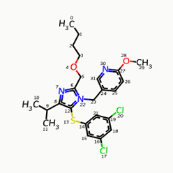 CCCCOCc1nc(C(C)C)c(Sc2cc(Cl)cc(Cl)c2)n1Cc1ccc(OC)nc1